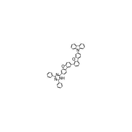 c1ccc(C2=NC(c3ccccc3)NC(c3ccc4c(c3)oc3ccc(-c5cccc6c5oc5cc(-n7c8ccccc8c8ccccc87)ccc56)cc34)=N2)cc1